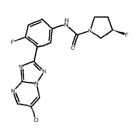 O=C(Nc1ccc(F)c(-c2nc3ncc(Cl)cn3n2)c1)N1CC[C@@H](F)C1